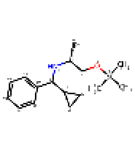 CC(C)[C@@H](CO[Si](C)(C)C)NC(c1ccccc1)C1CC1